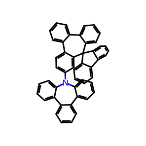 c1ccc2c(c1)-c1ccccc1N(c1ccc3c(c1)C1(c4ccccc4-c4ccccc4-3)c3ccccc3-c3ccccc31)c1ccccc1-2